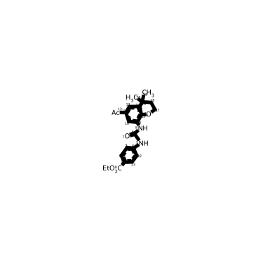 CCOC(=O)c1ccc(NC(=O)Nc2cc(C(C)=O)cc3c2OCCC3(C)C)cc1